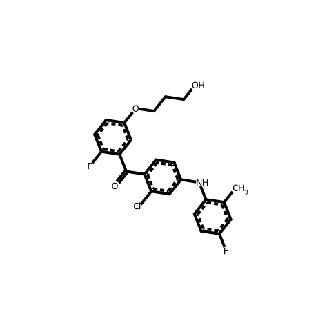 Cc1cc(F)ccc1Nc1ccc(C(=O)c2cc(OCCCO)ccc2F)c(Cl)c1